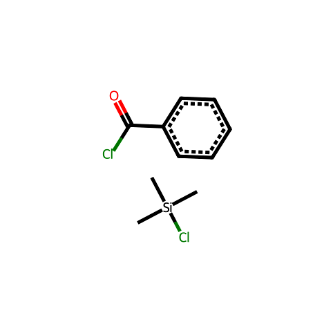 C[Si](C)(C)Cl.O=C(Cl)c1ccccc1